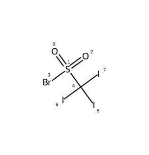 O=S(=O)(Br)C(I)(I)I